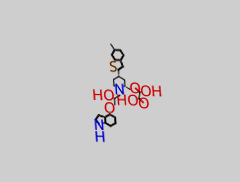 Cc1ccc2cc([C@@H]3CCN(C[C@H](O)COc4cccc5[nH]ccc45)[C@H](C)C3)sc2c1.O=C(O)C(=O)O